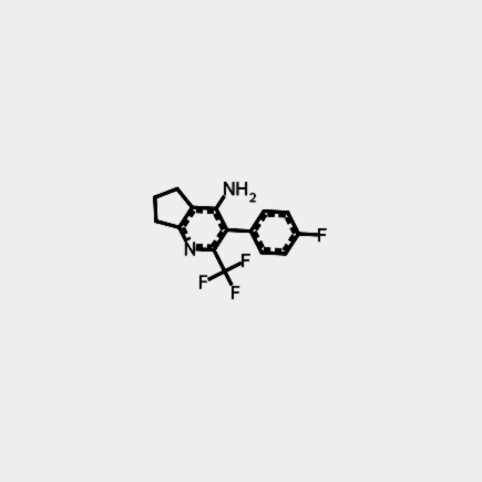 Nc1c2c(nc(C(F)(F)F)c1-c1ccc(F)cc1)CCC2